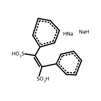 O=S(=O)(O)C(=C(c1ccccc1)S(=O)(=O)O)c1ccccc1.[NaH].[NaH]